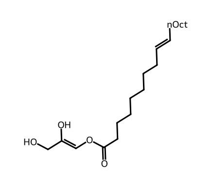 CCCCCCCCC=CCCCCCCCC(=O)OC=C(O)CO